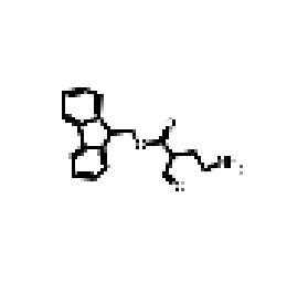 NCCC(C=O)C(=O)OCC1c2ccccc2-c2ccccc21